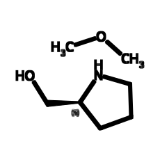 COC.OC[C@@H]1CCCN1